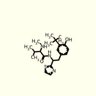 CNC(C(=O)NC(Cc1ccc(O)c(C(C)(C)C)c1)c1nccs1)C(C)C